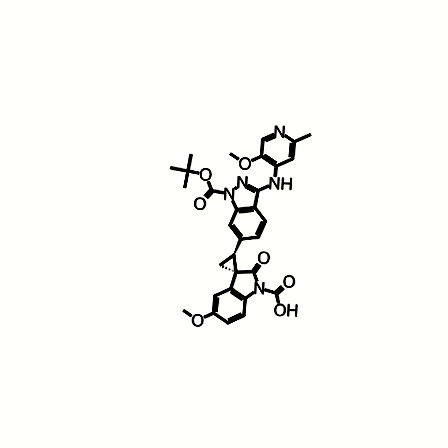 COc1ccc2c(c1)[C@]1(C[C@H]1c1ccc3c(Nc4cc(C)ncc4OC)nn(C(=O)OC(C)(C)C)c3c1)C(=O)N2C(=O)O